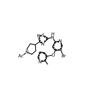 CC(=O)N1CCC(c2nsc(Nc3cc(Oc4cccnc4C)c(Br)cn3)n2)CC1